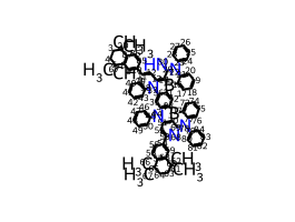 CC1(C)CCC(C)(C)c2cc(/C=C/C3=C4B(c5ccccc5N(c5ccccc5)C4=N)c4cc5c(cc4N3c3ccccc3)N(c3ccccc3)c3cc(-c4ccc6c(c4)C(C)(C)CCC6(C)C)nc4c3B5c3ccccc3N4c3ccccc3)ccc21